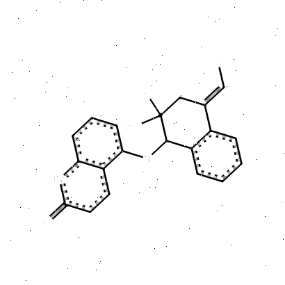 CC/C=C1\CC(O)(C(F)(F)F)C(Nc2cccc3[nH]c(=O)ccc23)c2ccccc21